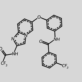 O=C(Nc1cccc(Oc2ccc3nc(NC(=O)C(F)(F)F)cn3c2)c1)c1cccc(C(F)(F)F)c1